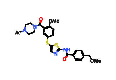 COCc1ccc(C(=O)Nc2ncc(Sc3ccc(OC)c(C(=O)N4CCN(C(C)=O)CC4)c3)s2)cc1